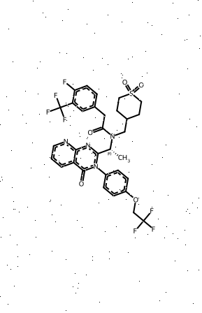 C[C@H](c1nc2ncccc2c(=O)n1-c1ccc(OCC(F)(F)F)cc1)N(CC1CCS(=O)(=O)CC1)C(=O)Cc1ccc(F)c(C(F)(F)F)c1